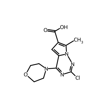 Cc1c(C(=O)O)cc2c(N3CCOCC3)nc(Cl)nn12